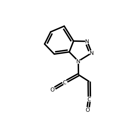 O=C=CC(=C=O)n1nnc2ccccc21